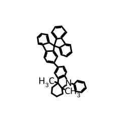 CC12CCCCC1(C)N(c1ccccc1)c1ccc(-c3ccc4c(c3)C3(c5ccccc5-c5ccccc53)c3ccccc3-4)cc12